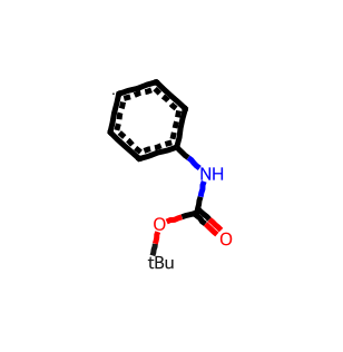 CC(C)(C)OC(=O)Nc1cc[c]cc1